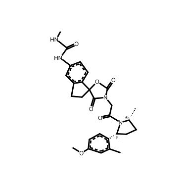 CNC(=O)Nc1ccc2c(c1)CCC21OC(=O)N(CC(=O)N2[C@H](C)CC[C@@H]2c2ccc(OC)cc2C)C1=O